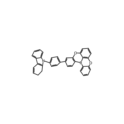 C1=Cc2c(n(-c3ccc(-c4ccc5c(c4)Oc4cccc6c4B5c4ccccc4O6)cc3)c3ccccc23)CC1